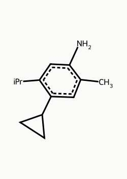 Cc1cc(C2CC2)c(C(C)C)cc1N